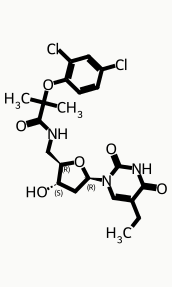 CCc1cn([C@H]2C[C@H](O)[C@@H](CNC(=O)C(C)(C)Oc3ccc(Cl)cc3Cl)O2)c(=O)[nH]c1=O